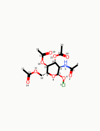 CC(=O)N[C@H]1[C@@H](OCl)O[C@H](COC(C)=O)[C@@H](OC(C)=O)[C@@H]1OC(C)=O